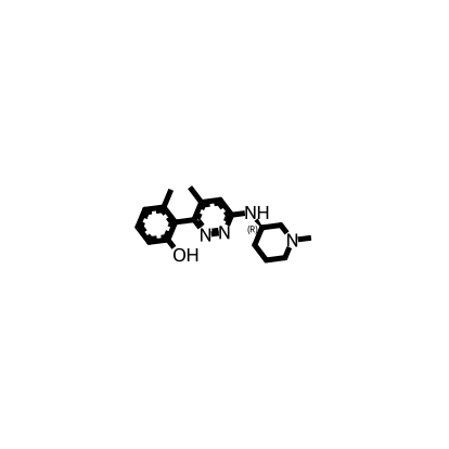 Cc1cc(N[C@@H]2CCCN(C)C2)nnc1-c1c(C)cccc1O